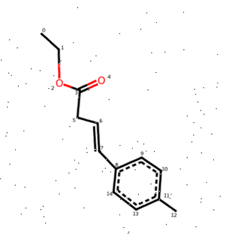 CCOC(=O)C/C=C/c1ccc(C)cc1